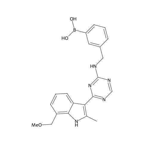 COCc1cccc2c(-c3ncnc(NCc4cccc(B(O)O)c4)n3)c(C)[nH]c12